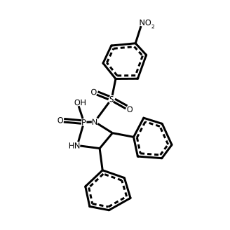 O=[N+]([O-])c1ccc(S(=O)(=O)N2C(c3ccccc3)C(c3ccccc3)NP2(=O)O)cc1